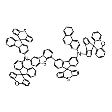 c1ccc2c(c1)Oc1ccccc1C21c2ccccc2-c2c(N(c3ccc4c(c3)-c3cc(-c5cccc6c5sc5ccc(N(c7ccc8c(c7)-c7ccccc7C87c8ccccc8Sc8ccccc87)c7cccc8c7-c7ccccc7C87c8ccccc8Oc8ccccc87)cc56)ccc3C43c4ccccc4Sc4ccccc43)c3ccc4c(ccc5ccccc54)c3)cccc21